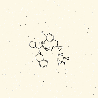 O=C(Nc1cc(CC2(C(=O)O)CC2)ccc1F)C(C1CCCC1)N1CCc2ccccc2C1.O=C(O)C(F)(F)F